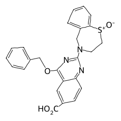 O=C(O)c1ccc2nc(N3CC[S+]([O-])c4ccccc4C3)nc(OCc3ccccc3)c2c1